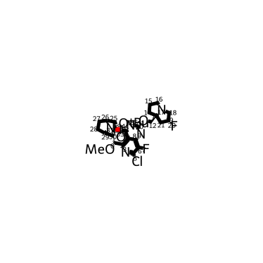 COCc1nc(Cl)c(F)c2nc(OC[C@@]34CCCN3C[C@H](F)C4)nc(N3CC4CCC(C3)N4C(=O)OC(C)(C)C)c12